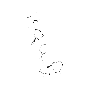 CC[C@H]1O[C@@H](n2ccc(NC(=O)C(C)C)nc2=O)CC1OP1OC2(CCCCC2)[C@@H]2CCCN21